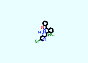 Cl.NC(Cc1ccc(Br)cn1)c1ccccc1-c1noc2ccccc12